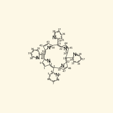 C1=CC2=C(c3ccccn3)C3=NC(=C(c4ccccn4)C4=NC(=C(c5ccccn5)C5=NC(=C(c6ccccn6)C1=N2)C=C5)C=C4)C=C3